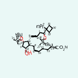 CCCC1(C(C/C=C/[C@@H]2[C@@H](C/C=C\CCCC(=O)O)[C@@H](O)C[C@H]2O[Si](C)(C)C(C)(C)C)O[Si](C)(C)C(C)(C)C)CCC1